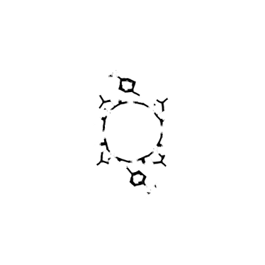 CC(C)C[C@H]1C(=O)O[C@H](Cc2ccc([N+](=O)[O-])cc2)C(=O)N(C)[C@@H](CC(C)C)C(=O)O[C@H](C)C(=O)N(C)[C@@H](CC(C)C)C(=O)O[C@H](Cc2ccc([N+](=O)[O-])cc2)C(=O)N(C)[C@@H](CC(C)C)C(=O)O[C@H](C)C(=O)N1C